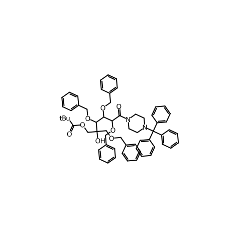 CC(C)(C)C(=O)OCC(O)(COCc1ccccc1)C(OCc1ccccc1)C(OCc1ccccc1)C(OCc1ccccc1)C(=O)N1CCN(C(c2ccccc2)(c2ccccc2)c2ccccc2)CC1